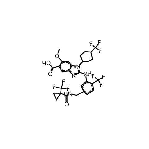 COc1cc2c(cc1C(=O)O)nc(Nc1cc(CNC(=O)C3(C(F)(F)F)CC3)ccc1C(F)(F)F)n2C1CCC(C(F)(F)F)CC1